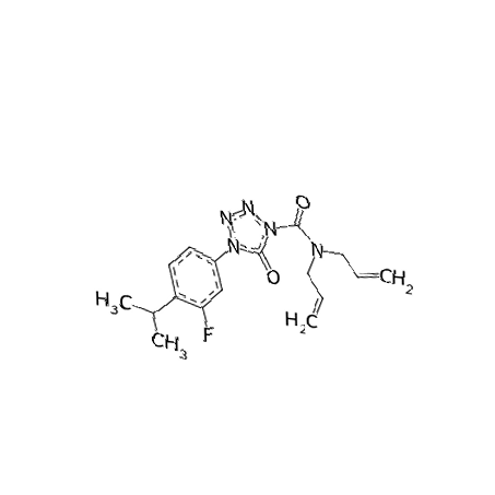 C=CCN(CC=C)C(=O)n1nnn(-c2ccc(C(C)C)c(F)c2)c1=O